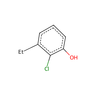 CCc1cccc(O)c1Cl